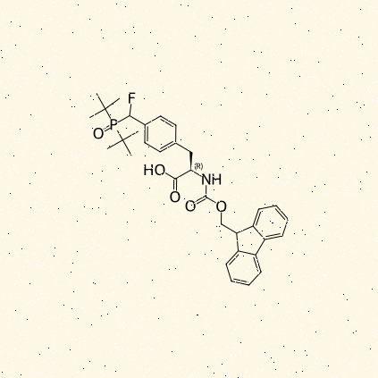 CC(C)(C)P(=O)(C(F)c1ccc(C[C@@H](NC(=O)OCC2c3ccccc3-c3ccccc32)C(=O)O)cc1)C(C)(C)C